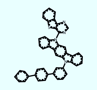 c1ccc(-c2ccc(-c3cccc(-n4c5ccccc5c5cc6c(cc54)c4ccccc4n6-c4ncnc5c4sc4ccccc45)c3)cc2)cc1